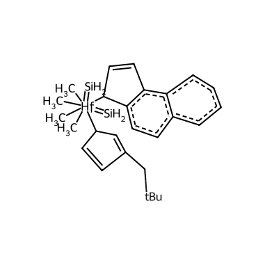 CC(C)(C)CC1=C[CH]([Hf]([CH3])([CH3])([CH3])([CH3])(=[SiH2])(=[SiH2])[CH]2C=Cc3c2ccc2ccccc32)C=C1